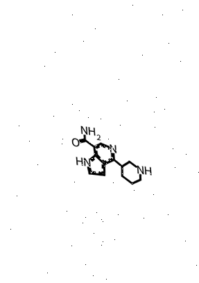 NC(=O)c1cnc(C2CCCNC2)c2cc[nH]c12